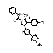 CC(C)(C)n1nnc(-c2cnn(C3CN(C(=O)N(OC(F)(F)F)c4ccccc4)N=C3c3ccc(Cl)cc3)c2)n1